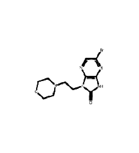 O=c1[nH]c2nc(Br)cnc2n1CCN1CCOCC1